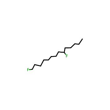 CCCCCC(F)CCCCCCCCF